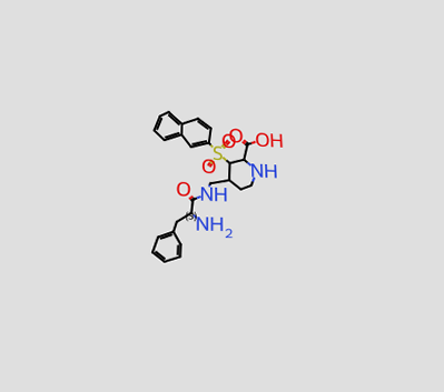 N[C@@H](Cc1ccccc1)C(=O)NCC1CCNC(C(=O)O)C1S(=O)(=O)c1ccc2ccccc2c1